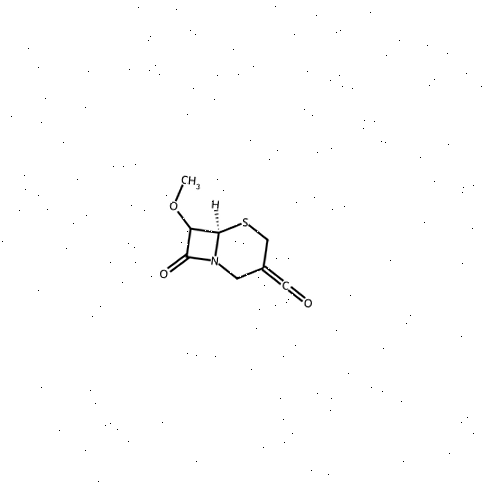 COC1C(=O)N2CC(=C=O)CS[C@H]12